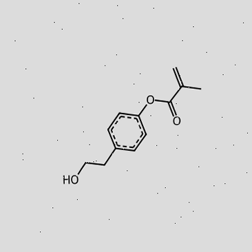 C=C(C)C(=O)Oc1ccc(CCO)cc1